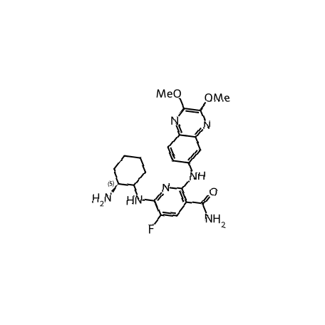 COc1nc2ccc(Nc3nc(NC4CCCC[C@@H]4N)c(F)cc3C(N)=O)cc2nc1OC